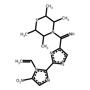 C=Cn1c([N+](=O)[O-])cnc1-c1nc(C(=N)N2C(C)C(C)SC(C)C2C)cs1